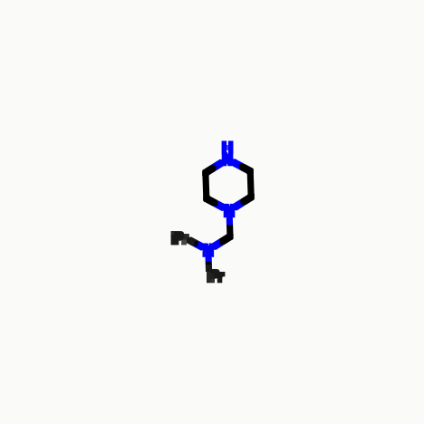 CC(C)N(CN1CCNCC1)C(C)C